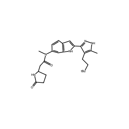 Cc1[nH]nc(-c2cc3ccc(N(C)C(=O)CC4CCC(=O)N4)cc3[nH]2)c1CCC(C)(C)C